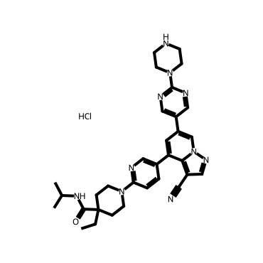 CCC1(C(=O)NC(C)C)CCN(c2ccc(-c3cc(-c4cnc(N5CCNCC5)nc4)cn4ncc(C#N)c34)cn2)CC1.Cl